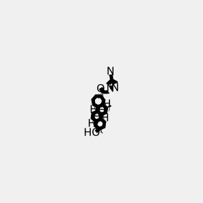 C[C@H]1C[C@H]2[C@H](CC[C@@H]3C[C@](C)(O)CC[C@@H]32)[C@H]2CCC[C@H](C(=O)Cn3cc(C#N)cn3)C[C@@H]21